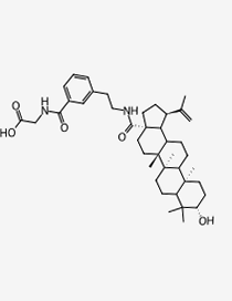 C=C(C)[C@@H]1CC[C@]2(C(=O)NCCc3cccc(C(=O)NCC(=O)O)c3)CC[C@]3(C)C(CCC4[C@@]5(C)CC[C@H](O)C(C)(C)C5CC[C@]43C)C12